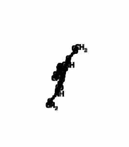 C=CC(=O)OCCCCCCNc1ccc(OC(=O)C2CCC(COc3ccc(OCC4CCC(C(=O)Nc5ccc(OCCCCCCOC(=O)C=C)cc5)CC4)c(/C=N/N(CCOC(=O)C=C)c4nc5ccccc5s4)c3)CC2)cc1